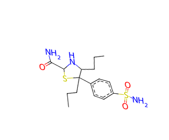 CCCC1NC(C(N)=O)SC1(CCC)c1ccc(S(N)(=O)=O)cc1